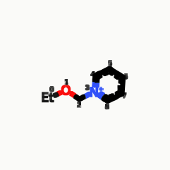 CCOC[n+]1ccccc1